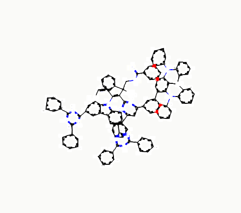 C/C=C\C(=C(\c1nc(-c2ccccc2)cc(-c2cccc(-c3ccc4c5c3N(c3ccccc3)c3ccccc3B5c3ccccc3N4c3ccccc3)c2)n1)C(C)(CNC(=N)c1ccccc1)c1ccccc1)n1c2ccc(-c3nc(-c4ccccc4)nc(-c4ccccc4)n3)cc2c2cc(-c3nc(-c4ccccc4)nc(-c4ccccc4)n3)ccc21